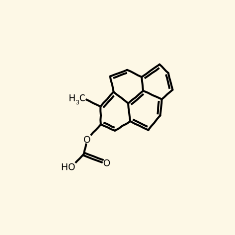 Cc1c(OC(=O)O)cc2ccc3cccc4ccc1c2c34